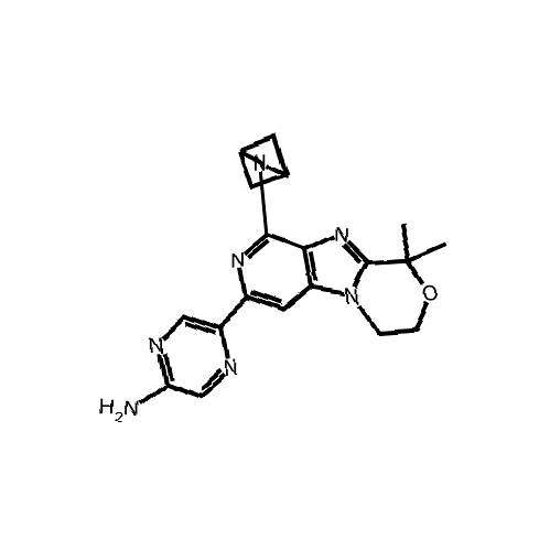 CC1(C)OCCn2c1nc1c(N3CC4CC3C4)nc(-c3cnc(N)cn3)cc12